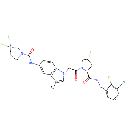 CC(=O)c1cn(CC(=O)N2C[C@H](F)C[C@H]2C(=O)NCc2cccc(Cl)c2F)c2ccc(NC(=O)N3CCC(F)(F)C3)cc12